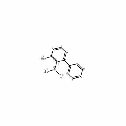 CC(C)c1cccc(-c2ccccc2)c1P(C(C)(C)C)C(C)(C)C